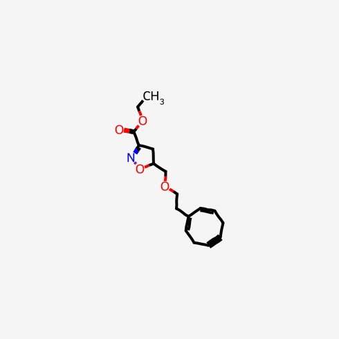 CCOC(=O)C1=NOC(COCCC2=C/CC#CC/C=C\2)C1